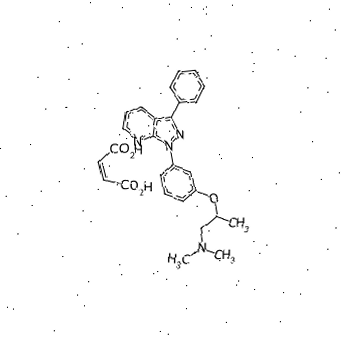 CC(CN(C)C)Oc1cccc(-n2nc(-c3ccccc3)c3cccnc32)c1.O=C(O)/C=C\C(=O)O